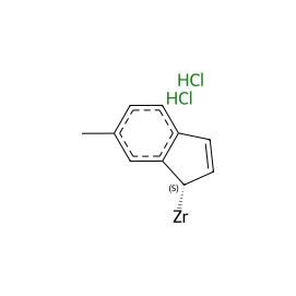 Cc1ccc2c(c1)[C@@H]([Zr])C=C2.Cl.Cl